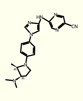 C[C@@H]1[C@H](N(C)C)CCN1c1ccc(-n2cnc(Nc3cnc(C#N)cn3)c2)cc1